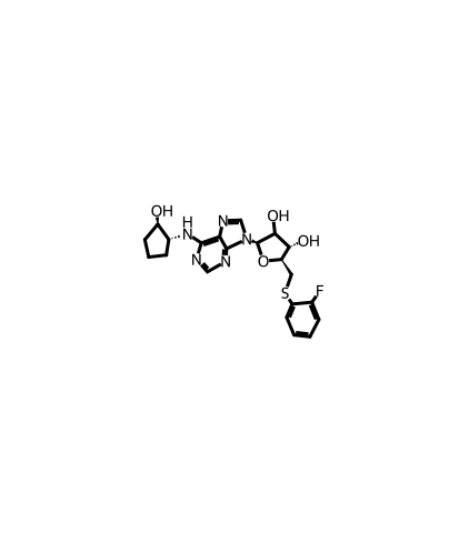 OC1[C@H](n2cnc3c(N[C@@H]4CCC[C@H]4O)ncnc32)O[C@H](CSc2ccccc2F)[C@H]1O